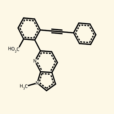 Cn1ccc2ccc(-c3c(C#Cc4ccccc4)cccc3C(=O)O)nc21